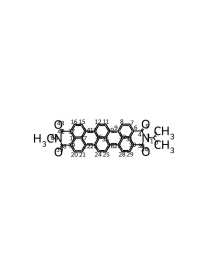 CC(C)N1C(=O)c2ccc3c4ccc5c6ccc7c8c(ccc(c9ccc(c%10ccc(c2c3%10)C1=O)c4c59)c86)C(=O)N(C)C7=O